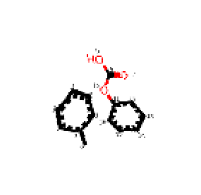 Cc1ccccc1.O=C(O)Oc1ccccc1